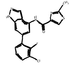 Cc1nc(C(=O)Nc2cc(-c3cccc(Cl)c3F)cc3[nH]ncc23)cs1